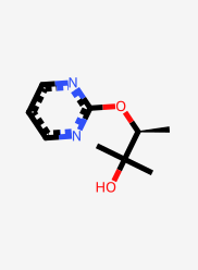 C[C@H](Oc1ncccn1)C(C)(C)O